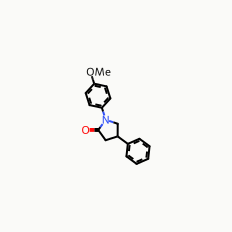 COc1ccc(N2CC(c3ccccc3)CC2=O)cc1